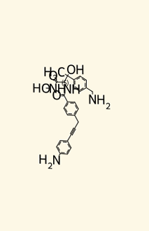 CC(O)(c1ccc(CN)cc1)[C@H](NC(=O)c1ccc(CC#Cc2ccc(N)cc2)cc1)C(=O)NO